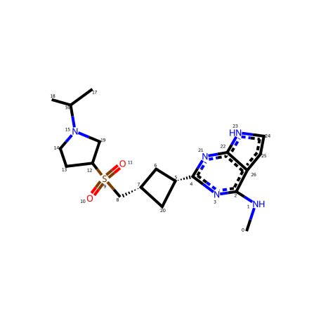 CNc1nc([C@H]2C[C@@H](CS(=O)(=O)C3CCN(C(C)C)C3)C2)nc2[nH]ccc12